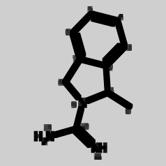 CC1c2ccccc2CN1C(=N)N